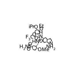 CCOc1cc(C(Nc2ccc3c(N)nccc3c2)(OC(=O)C(F)(F)F)C(=O)NCc2cc(S(N)(=O)=O)ccc2OC)ccc1OC(C)C